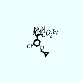 CCOC(=O)c1[nH]nnc1-c1cc(Cl)cc(OCC2CC2)c1